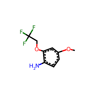 COc1ccc(N)c(OCC(F)(F)F)c1